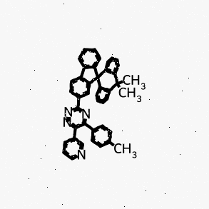 Cc1ccc(-c2nc(-c3ccc4c(c3)C3(c5ccccc5-4)c4ccccc4C(C)(C)c4ccccc43)nnc2-c2cccnc2)cc1